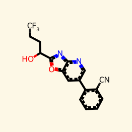 N#Cc1ccccc1-c1cnc2nc(C(O)CCC(F)(F)F)oc2c1